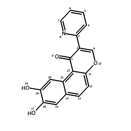 O=c1c(-c2ccccn2)coc2ccc3cc(O)c(O)cc3c12